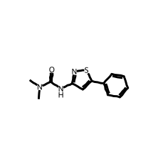 CN(C)C(=O)Nc1cc(-c2ccccc2)sn1